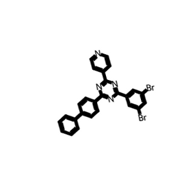 Brc1cc(Br)cc(-c2nc(-c3ccncc3)nc(-c3ccc(-c4ccccc4)cc3)n2)c1